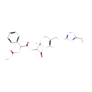 CC(C)(C)OC(=O)NC(C(=O)NC1C(=O)N2C(C(=O)O)=C(CSc3n[nH]c(CC(=O)O)n3)CS[C@@H]12)c1ccccc1